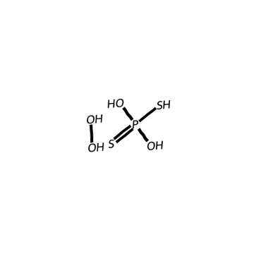 OO.OP(O)(=S)S